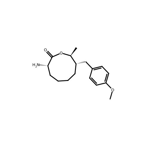 COc1ccc(C[C@@H]2CCCC[C@H](N)C(=O)O[C@H]2C)cc1